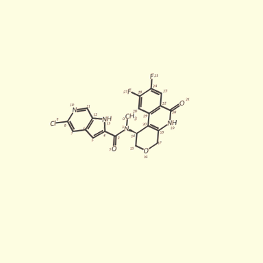 CN(C(=O)c1cc2cc(Cl)ncc2[nH]1)[C@@H]1COCc2[nH]c(=O)c3cc(F)c(F)cc3c21